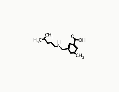 Cc1cc(CNCCCC(C)C)cc(C(=O)O)c1